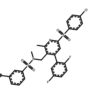 Cc1nc(S(=O)(=O)c2ccc(Cl)cc2)cc(-c2cc(F)ccc2F)c1CN(C)S(=O)(=O)c1cccc(C#N)c1